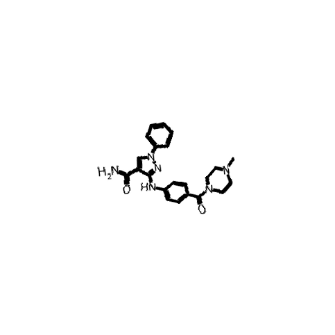 CN1CCN(C(=O)c2ccc(Nc3nn(-c4ccccc4)cc3C(N)=O)cc2)CC1